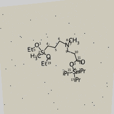 CCO[Si](C)(CCCN(C)CCC(=O)O[Si](C(C)C)(C(C)C)C(C)C)OCC